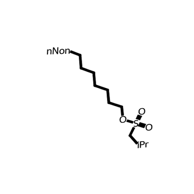 CCCCCCCCCCCCCCCCOS(=O)(=O)CC(C)C